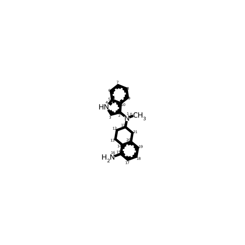 CN(c1c[nH]c2ccccc12)C1CCc2c(N)cccc2C1